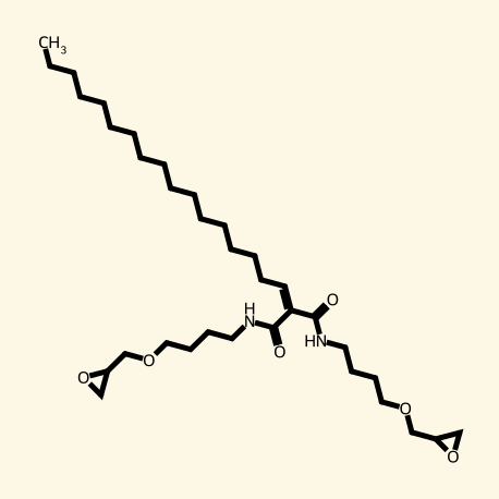 CCCCCCCCCCCCCCCCC=C(C(=O)NCCCCOCC1CO1)C(=O)NCCCCOCC1CO1